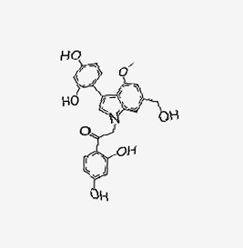 COc1cc(CO)cc2c1c(-c1ccc(O)cc1O)cn2CC(=O)c1ccc(O)cc1O